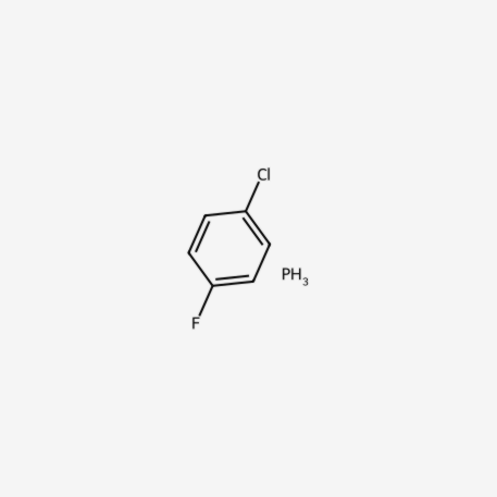 Fc1ccc(Cl)cc1.P